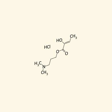 CC=C(O)C(=O)OCCCN(C)C.Cl